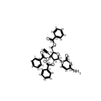 C#C[C@@]1(OC(=O)c2ccccc2)[C@@H](COC(=O)c2ccccc2)O[C@@H](n2ccc(N)nc2=O)[C@@H]1OC(=O)c1ccccc1